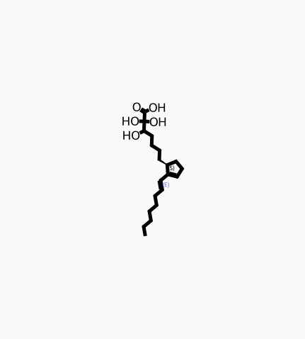 CCCCCC/C=C/C1=CCC[C@@H]1CCCCC(O)C(O)(O)C(=O)O